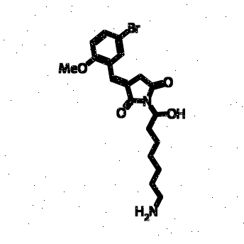 COc1ccc(Br)cc1/C=C1\CC(=O)N(C(O)CCCCCCN)C1=O